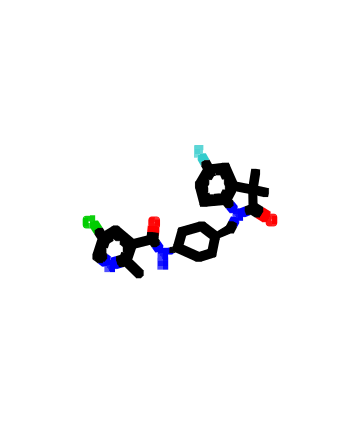 Cc1ncc(Cl)cc1C(=O)N[C@H]1CC[C@H](CN2C(=O)C(C)(C)c3cc(F)ccc32)CC1